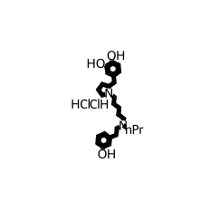 CCCN(CCCCCN1CCCC1Cc1ccc(O)c(O)c1)CCc1cccc(O)c1.Cl.Cl